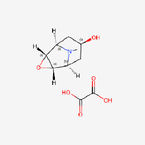 CN1[C@@H]2C[C@@H](O)C[C@H]1[C@@H]1O[C@@H]12.O=C(O)C(=O)O